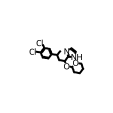 CC(CC(OC1CCCCO1)c1ncc[nH]1)c1ccc(Cl)c(Cl)c1